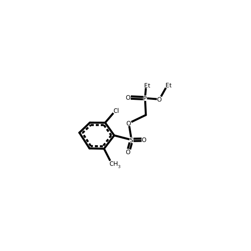 CCOP(=O)(CC)COS(=O)(=O)c1c(C)cccc1Cl